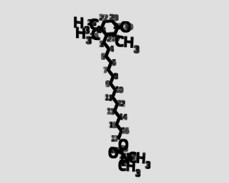 CC1=C(CCCCCCCCCCCCCCCOC(=O)N(C)C)C(C)(C)CCC1=O